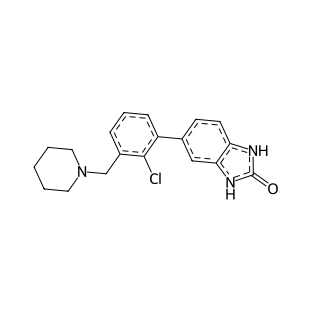 O=c1[nH]c2ccc(-c3cccc(CN4CCCCC4)c3Cl)cc2[nH]1